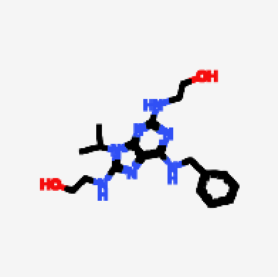 CC(C)n1c(NCCO)nc2c(NCc3ccccc3)nc(NCCO)nc21